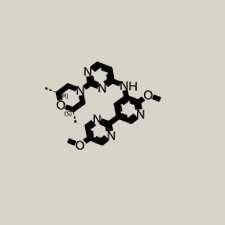 COc1cnc(-c2cnc(OC)c(Nc3ccnc(N4C[C@@H](C)O[C@@H](C)C4)n3)c2)nc1